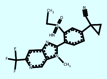 CCS(=N)(=O)c1cc(C2(C#N)CC2)ccc1-c1nc2cc(C(F)(F)F)ncc2n1C